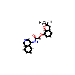 CC1(C)Cc2cccc(OCC(=O)Nc3cncc4ccccc34)c2O1